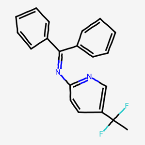 CC(F)(F)c1ccc(N=C(c2ccccc2)c2ccccc2)nc1